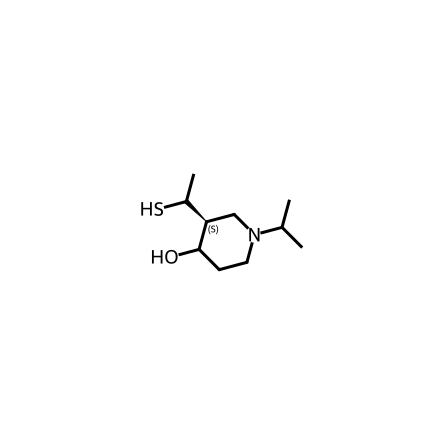 CC(S)[C@H]1CN(C(C)C)CCC1O